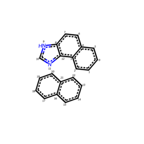 c1ccc2c(c1)ccc1[nH]cnc12.c1ccc2ccccc2c1